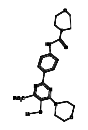 CCOC(=O)c1nc(-c2ccc(NC(=O)N3CCOCC3)cc2)nc(N2CCOCC2)c1OCC